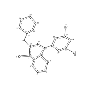 O=c1c2cccnc2c(-c2cc(Cl)cc(Br)c2)nn1Cc1ccccc1